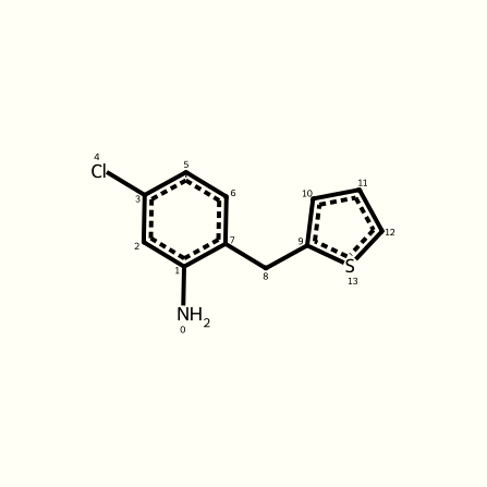 Nc1cc(Cl)[c]cc1Cc1cccs1